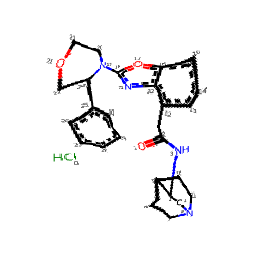 Cl.O=C(NC1CN2CCC1CC2)c1cccc2oc(N3CCOCC3c3ccccc3)nc12